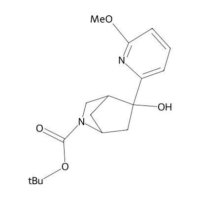 COc1cccc(C2(O)CC3CC2CN3C(=O)OC(C)(C)C)n1